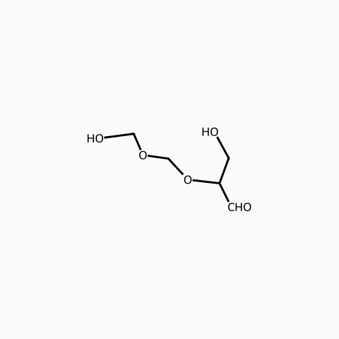 O=CC(CO)OCOCO